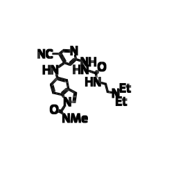 CCN(CC)CCNC(=O)NNc1cc(Nc2ccc3c(ccn3C(=O)NC)c2)c(C#N)cn1